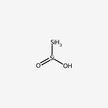 O=[Si](O)[SiH3]